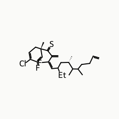 C=CCCC(C)C(C)[C@@H](C)CC(/C=C(/F)C(=C)C(=S)[C@]1(C)C=C(F)C(Cl)=CC1)CC